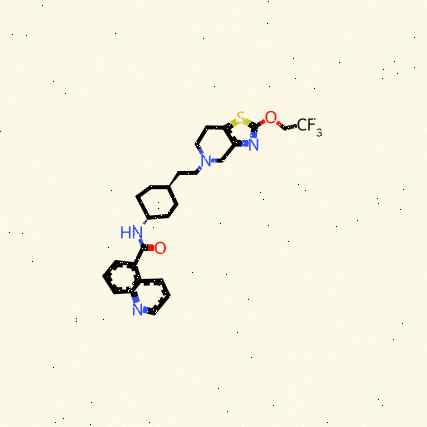 O=C(N[C@H]1CC[C@H](CCN2CCc3sc(OCC(F)(F)F)nc3C2)CC1)c1cccc2ncccc12